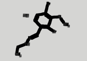 CCN/N=C/c1ccc(Br)c(OC)c1Br.Cl